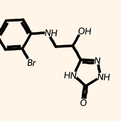 O=c1[nH]nc(C(O)CNc2ccccc2Br)[nH]1